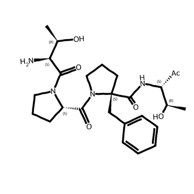 CC(=O)[C@@H](NC(=O)[C@@]1(Cc2ccccc2)CCCN1C(=O)[C@@H]1CCCN1C(=O)[C@@H](N)[C@@H](C)O)[C@@H](C)O